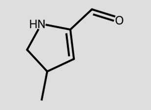 CC1C=C(C=O)NC1